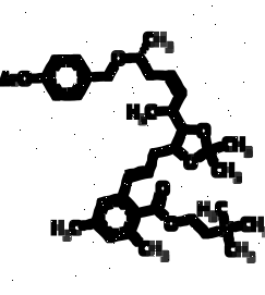 COc1ccc(CO[C@H](C)C/C=C\C(C)C2OC(C)(C)OC2C/C=C/c2cc(C)cc(C)c2C(=O)OCC[Si](C)(C)C)cc1